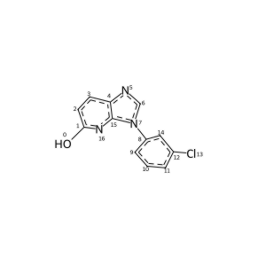 Oc1ccc2ncn(-c3cccc(Cl)c3)c2n1